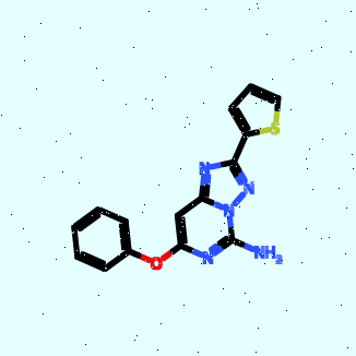 Nc1nc(Oc2ccccc2)cc2nc(-c3cccs3)nn12